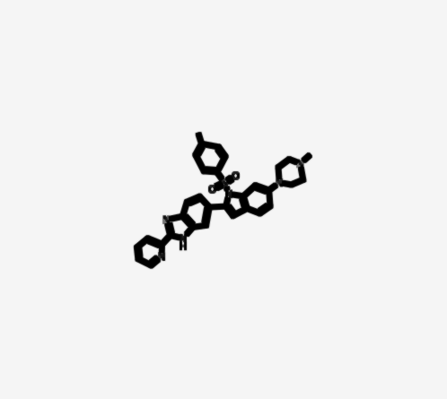 Cc1ccc(S(=O)(=O)n2c(-c3ccc4nc(-c5ccccn5)[nH]c4c3)cc3ccc(N4CCN(C)CC4)cc32)cc1